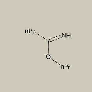 CCCOC(=N)CCC